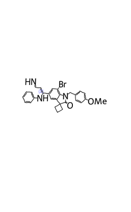 COc1ccc(CN2C(=O)C3(CCC3)c3cc(/C(=C/C=N)Nc4ccccc4)cc(Br)c32)cc1